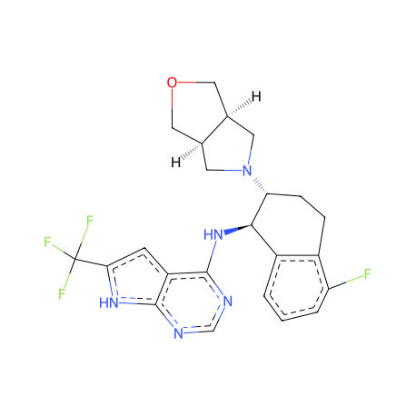 Fc1cccc2c1CC[C@@H](N1C[C@H]3COC[C@H]3C1)[C@@H]2Nc1ncnc2[nH]c(C(F)(F)F)cc12